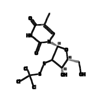 Cc1cn([C@@H]2O[C@H](CO)[C@H](O)C2SSC(Cl)(Cl)Cl)c(=O)[nH]c1=O